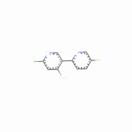 Nc1cc(Cl)ncc1-c1ccc(F)cn1